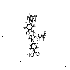 O=C(O)c1ccc(N2C[C@@H](Oc3ccc(-n4nccn4)cc3)C[C@H]2COC(F)F)cc1